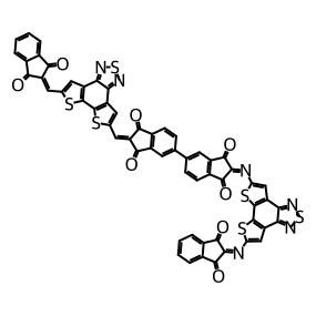 O=C1C(=Cc2cc3c4nsnc4c4cc(/C=C5\C(=O)c6ccc(-c7ccc8c(=O)/c(=N\c9cc%10c%11nsnc%11c%11cc(N=c%12c(=O)c%13ccccc%13c%12=O)sc%11c%10s9)c(=O)c8c7)cc6C5=O)sc4c3s2)C(=O)c2ccccc21